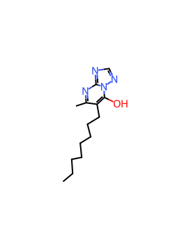 CCCCCCCCc1c(C)nc2ncnn2c1O